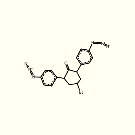 CCC1CC(c2ccc(N=[N+]=[N-])cc2)C(=O)C(c2ccc(N=[N+]=[N-])cc2)C1